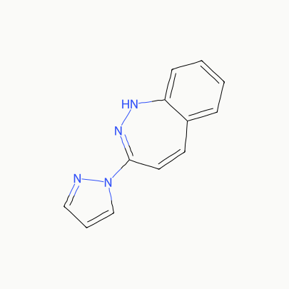 C1=Cc2ccccc2NN=C1n1cccn1